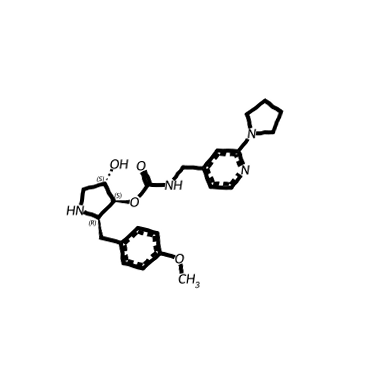 COc1ccc(C[C@H]2NC[C@H](O)[C@H]2OC(=O)NCc2ccnc(N3CCCC3)c2)cc1